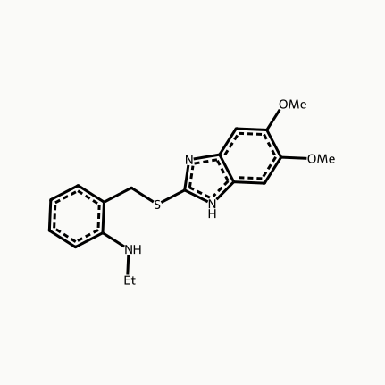 CCNc1ccccc1CSc1nc2cc(OC)c(OC)cc2[nH]1